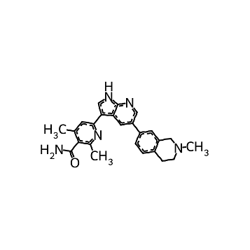 Cc1cc(-c2c[nH]c3ncc(-c4ccc5c(c4)CN(C)CC5)cc23)nc(C)c1C(N)=O